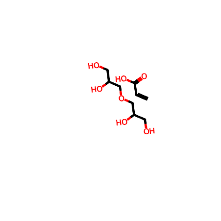 C=CC(=O)O.OCC(O)COCC(O)CO